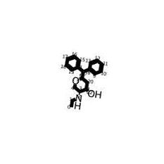 CCN[C@@H]1COC(C(c2ccccc2)c2ccccc2)CC1O